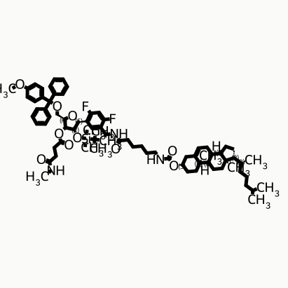 CNC(=O)CCC(=O)OC1[C@@H](COC(c2ccccc2)(c2ccccc2)c2ccc(OC)cc2)O[C@@H](c2cc(CNC(=O)CCCCCNC(=O)O[C@H]3CC[C@@]4(C)C(=CCC5[C@@H]6CC[C@H]([C@H](C)CCCC(C)C)[C@@]6(C)CC[C@@H]54)C3)c(F)cc2F)[C@H]1O[Si](C)(C)C(C)(C)C